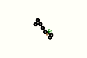 Brc1c(-c2cccc3ccccc23)sc2ccc(-c3ccc(-c4ccc5c6ccccc6c6ccccc6c5c4)cc3)cc12